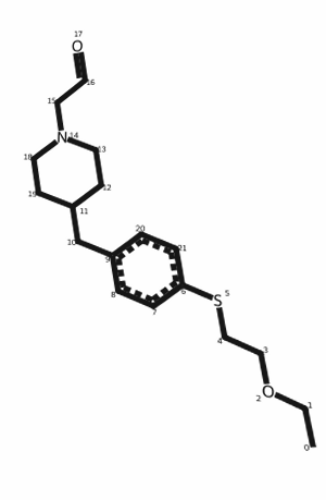 CCOCCSc1ccc(CC2CCN(CC=O)CC2)cc1